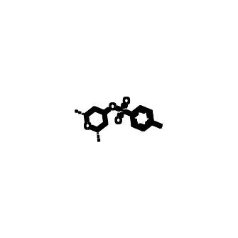 Cc1ccc(S(=O)(=O)OC2C[C@@H](C)O[C@@H](C)C2)cc1